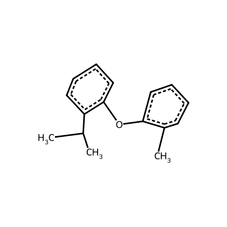 Cc1ccccc1Oc1ccccc1C(C)C